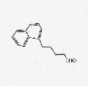 O=CCCCCc1cccc2ccccc12